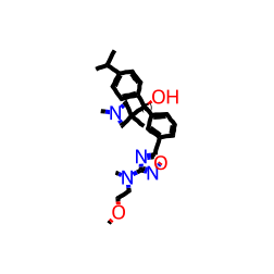 COCCN(C)c1noc(-c2cccc([C@@](O)(c3ccc(C(C)C)cc3)C3(C)CN(C)C3)c2)n1